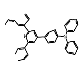 C=C/C(=C\C=C/C)c1cc(-c2ccc(N(c3ccccc3)c3ccccc3)cc2)cc(C(/C=C\C)=C/C)n1